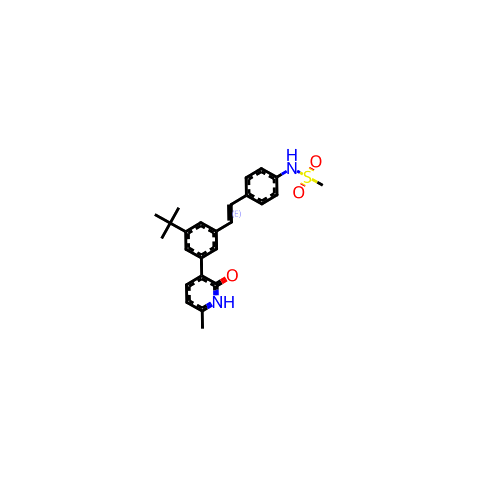 Cc1ccc(-c2cc(/C=C/c3ccc(NS(C)(=O)=O)cc3)cc(C(C)(C)C)c2)c(=O)[nH]1